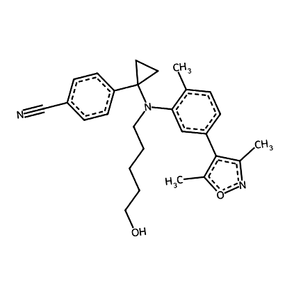 Cc1ccc(-c2c(C)noc2C)cc1N(CCCCCO)C1(c2ccc(C#N)cc2)CC1